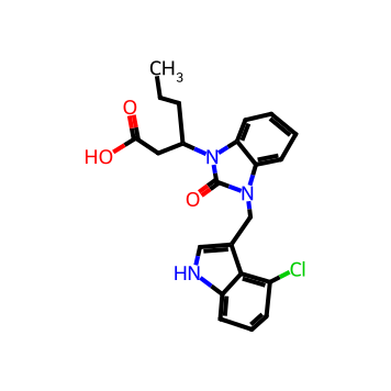 CCCC(CC(=O)O)n1c(=O)n(Cc2c[nH]c3cccc(Cl)c23)c2ccccc21